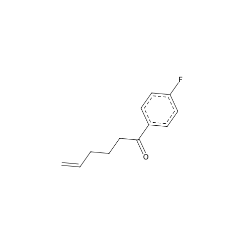 C=CCCCC(=O)c1ccc(F)cc1